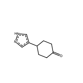 O=C1CCC(c2cn[nH]c2)CC1